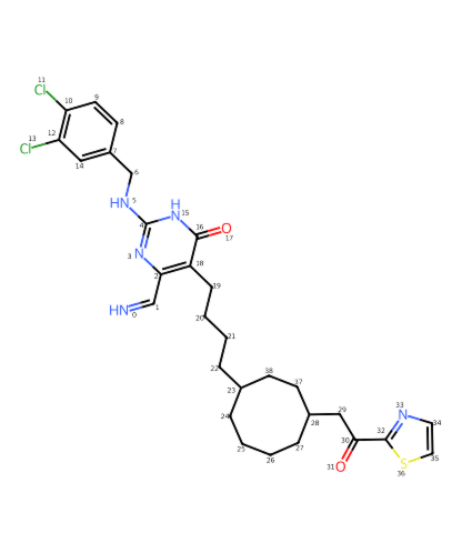 N=Cc1nc(NCc2ccc(Cl)c(Cl)c2)[nH]c(=O)c1CCCCC1CCCCC(CC(=O)c2nccs2)CC1